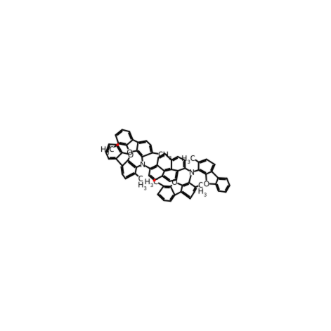 Cc1ccc2c(oc3ccccc32)c1N(c1ccc2ccc3c(N(c4c(C)ccc5c4oc4ccccc45)c4c(C)ccc5c4oc4c(C)cccc45)ccc4ccc1c2c43)c1c(C)ccc2c1oc1c(C)cccc12